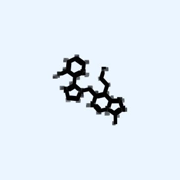 Cc1nnc2c(CCF)c(Cn3ccnc3-c3ncccc3F)ncn12